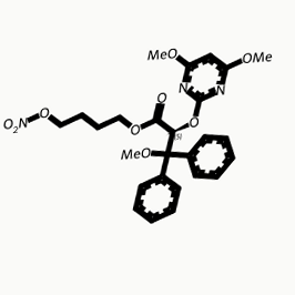 COc1cc(OC)nc(O[C@H](C(=O)OCCCCO[N+](=O)[O-])C(OC)(c2ccccc2)c2ccccc2)n1